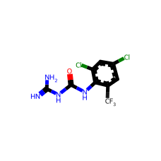 N=C(N)NC(=O)Nc1c(Cl)cc(Cl)cc1C(F)(F)F